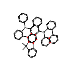 CC1(C)c2ccccc2-c2cc3c(N(c4ccccc4)c4ccccc4-c4ccccc4)c4ccccc4c(N(c4ccccc4)c4ccccc4-c4ccccc4)c3cc21